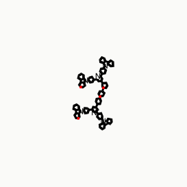 c1cc(-c2ccc(-c3ccc(-c4cc(-c5ccc(-n6c7ccccc7c7ccccc76)cc5)nc(-c5ccc(-n6c7ccccc7c7ccccc76)cc5)c4)cc3)cc2)cc(-c2cc(-c3ccc(-n4c5ccccc5c5ccccc54)cc3)nc(-c3ccc(-n4c5ccccc5c5ccccc54)cc3)c2)c1